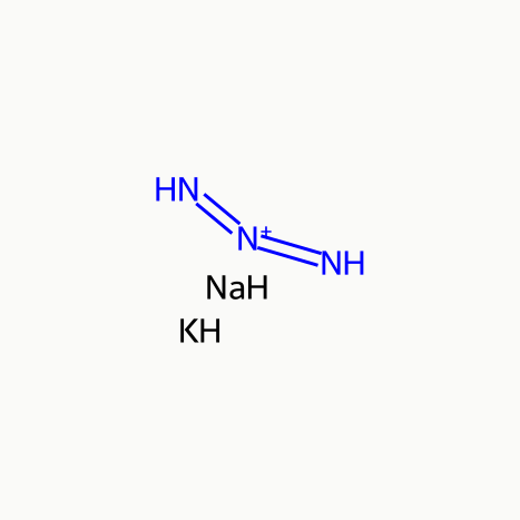 N=[N+]=N.[KH].[NaH]